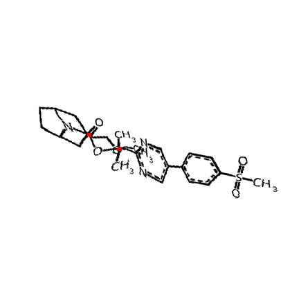 CC(C)(C)OC(=O)N1C2CCC1CC(COc1ncc(-c3ccc(S(C)(=O)=O)cc3)cn1)C2